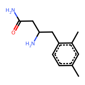 Cc1ccc(CC(N)CC(N)=O)c(C)c1